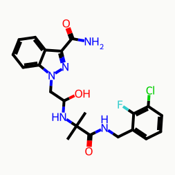 CC(C)(NC(O)Cn1nc(C(N)=O)c2ccccc21)C(=O)NCc1cccc(Cl)c1F